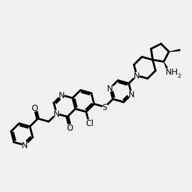 C[C@@H]1CCC2(CCN(c3cnc(Sc4ccc5ncn(CC(=O)c6cccnc6)c(=O)c5c4Cl)cn3)CC2)[C@@H]1N